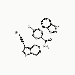 CC(C)C#Cn1nnc2ccccc21.NC(=O)c1ccc(Cl)cc1.c1ccc2[nH]nnc2c1